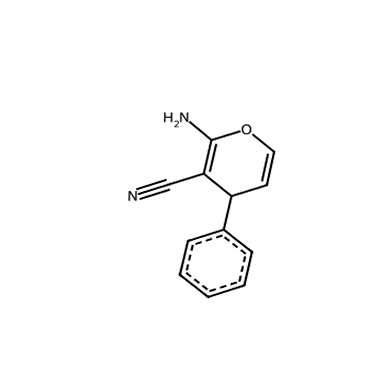 N#CC1=C(N)OC=CC1c1ccccc1